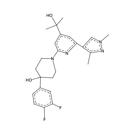 Cc1nn(C)cc1-c1cc(C(C)(C)O)cc(N2CCC(O)(c3ccc(F)c(F)c3)CC2)n1